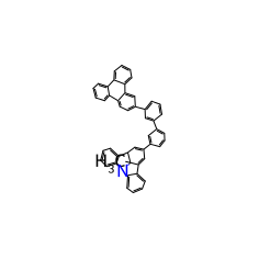 CC12C3=CC(c4cccc(-c5cccc(-c6ccc7c8ccccc8c8ccccc8c7c6)c5)c4)=CC1c1ccccc1N2c1ccccc13